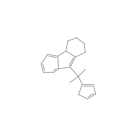 CC(C)(C1=CC=CC1)C1=C2CCCCC2c2ccccc21